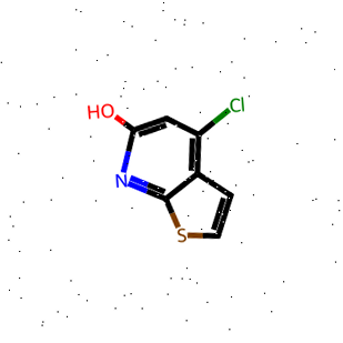 Oc1cc(Cl)c2ccsc2n1